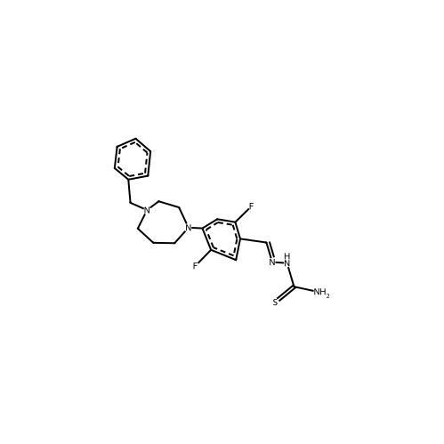 NC(=S)N/N=C/c1cc(F)c(N2CCCN(Cc3ccccc3)CC2)cc1F